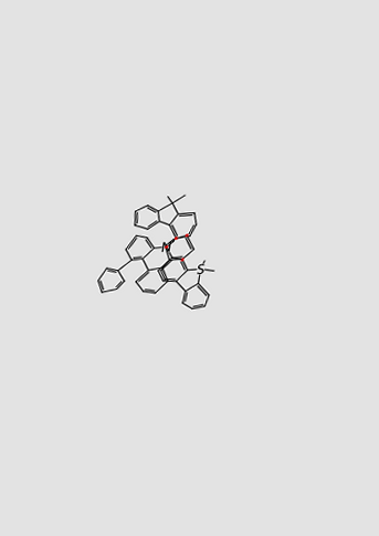 CC1(C)c2ccccc2-c2c(N(c3ccc4c(c3)S(C)(C)c3ccccc3-4)c3cccc(-c4ccccc4)c3-c3ccccc3-c3ccccc3)cccc21